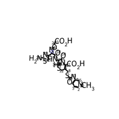 CN1C=Cc2oc(SCC3=C(C(=O)O)N4C(=O)C(NC(=O)/C(=N\OCC(=O)O)c5csc(N)n5)[C@H]4SC3)nc2C1